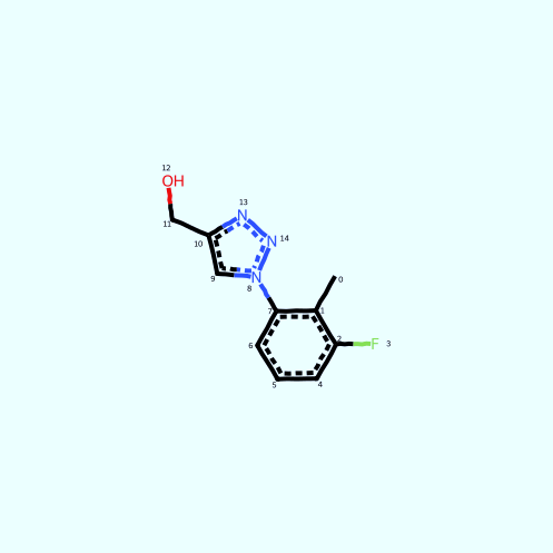 Cc1c(F)cccc1-n1cc(CO)nn1